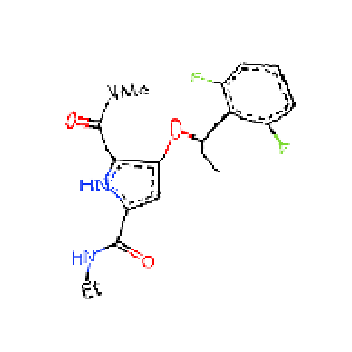 CCNC(=O)c1cc(OC(C)c2c(F)cccc2F)c(C(=O)NC)[nH]1